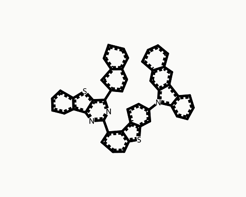 c1ccc2cc(-c3nc(-c4cccc5sc6cc(-n7c8ccccc8c8cc9ccccc9cc87)ccc6c45)nc4c3sc3ccccc34)ccc2c1